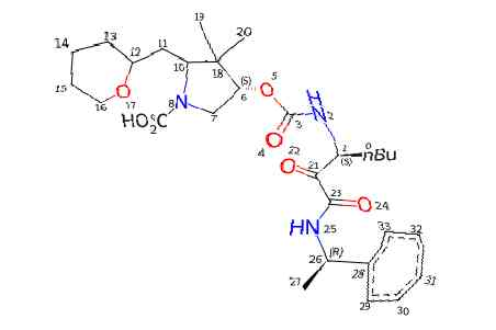 CCCC[C@H](NC(=O)O[C@@H]1CN(C(=O)O)C(CC2CCCCO2)C1(C)C)C(=O)C(=O)N[C@H](C)c1ccccc1